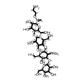 CC(=O)NC1C(O[C@@H]2OC(CO)[C@H](O)C(O)C2O)[C@@H](O)C(CO)O[C@H]1OC1C(CO)O[C@@H](O[C@@H]2C(CO)O[C@@H](N(C)OCCN)C(O)C2O)C(O)C1O